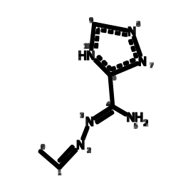 C/C=N\N=C(/N)c1nnc[nH]1